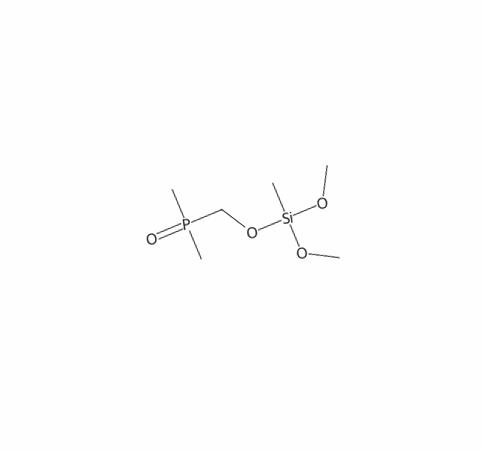 CO[Si](C)(OC)OCP(C)(C)=O